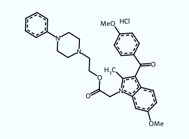 COc1ccc(C(=O)c2c(C)n(CC(=O)OCCN3CCN(c4ccccc4)CC3)c3cc(OC)ccc23)cc1.Cl